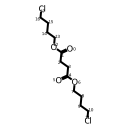 O=C(CCC(=O)OCCCCCl)OCCCCCl